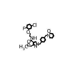 COCc1nn(Cc2ccc(Cn3ccccc3=O)cc2)cc1C(=O)NCCOc1cc(Cl)ccc1F